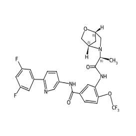 C[C@@H](C(=O)Nc1cc(C(=O)Nc2ccc(-c3cc(F)cc(F)c3)nc2)ccc1OC(F)(F)F)N1C[C@@H]2C[C@H]1CO2